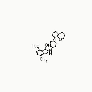 Cc1ccc(C)c2c1C[C@H](NC1CCN(c3cccc4c3OCCC4)CC1)[C@@H]2O